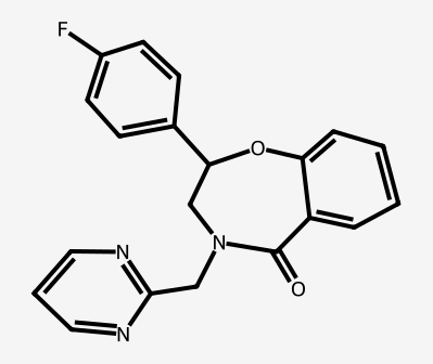 O=C1c2ccccc2OC(c2ccc(F)cc2)CN1Cc1ncccn1